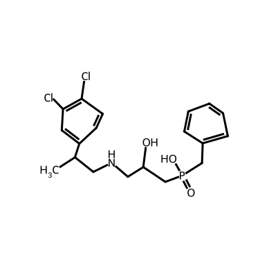 CC(CNCC(O)CP(=O)(O)Cc1ccccc1)c1ccc(Cl)c(Cl)c1